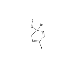 COC1(Br)C=CC(I)=CC1